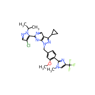 COc1cc(Cn2nc(C3CC3)c3cnc(-c4c(Cl)cnn4C(C)C)nc32)ccc1-c1nc(C(F)(F)F)cn1C